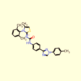 Cc1ccc(-n2cnc(-c3ccc(NC(=O)/N=c4\scc(C)n4-c4c(C)cccc4C)cc3)n2)cc1